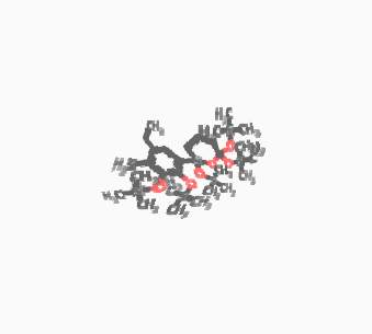 C=Cc1cc([Si]2(O[Si](C)(C)C)CCCC(O[Si](C)(C)C)(O[Si](C)(C)C)O2)c(O[Si](C)(C)C)c(O[Si](C)(C)C)c1[SiH3]